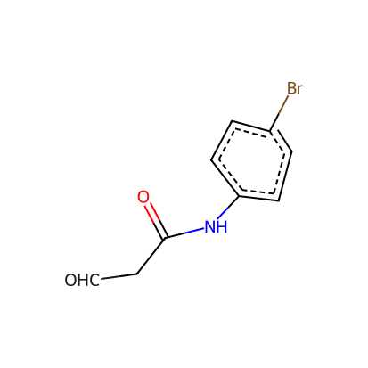 O=CCC(=O)Nc1ccc(Br)cc1